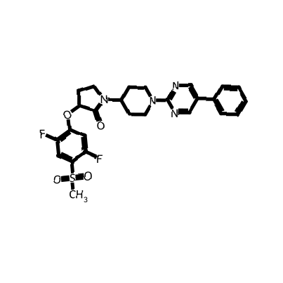 CS(=O)(=O)c1cc(F)c(OC2CCN(C3CCN(c4ncc(-c5ccccc5)cn4)CC3)C2=O)cc1F